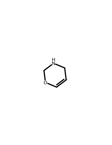 [C]1=COCNC1